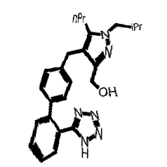 CCCc1c(Cc2ccc(-c3ccccc3-c3nnn[nH]3)cc2)c(CO)nn1CC(C)C